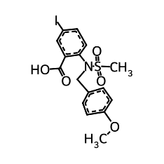 COc1ccc(CN(c2ccc(I)cc2C(=O)O)S(C)(=O)=O)cc1